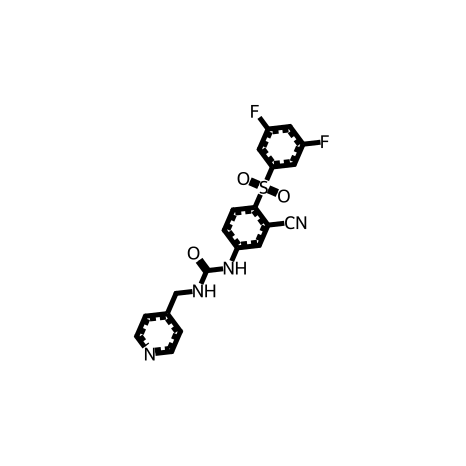 N#Cc1cc(NC(=O)NCc2ccncc2)ccc1S(=O)(=O)c1cc(F)cc(F)c1